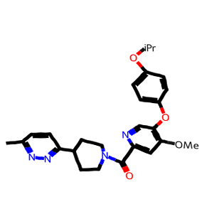 COc1cc(C(=O)N2CCC(c3ccc(C)nn3)CC2)ncc1Oc1ccc(OC(C)C)cc1